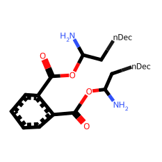 CCCCCCCCCCCC(N)OC(=O)c1ccccc1C(=O)OC(N)CCCCCCCCCCC